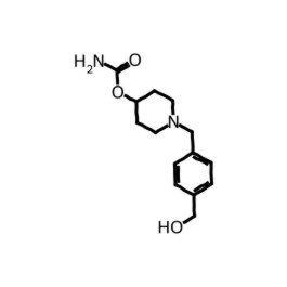 NC(=O)OC1CCN(Cc2ccc(CO)cc2)CC1